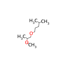 COC(C)COCCCC(C)C